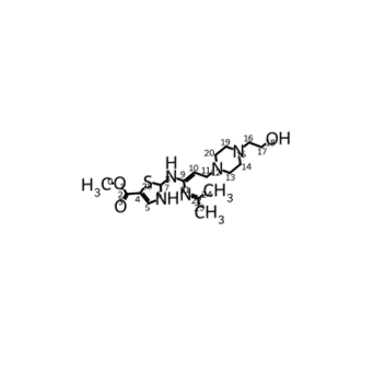 COC(=O)C1=CNC(N/C(=C/CN2CCN(CCO)CC2)N=C(C)C)S1